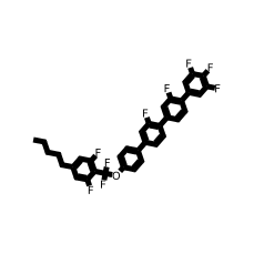 CCCCCc1cc(F)c(C(F)(F)Oc2ccc(-c3ccc(-c4ccc(-c5cc(F)c(F)c(F)c5)c(F)c4)c(F)c3)cc2)c(F)c1